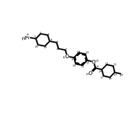 CCCC1CCC(CCCOc2ccc(OC(=O)C3CCC(C)CC3)cc2)CC1